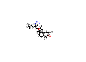 CCC(=O)CC1[C@@]2(C)C=C(C#N)C(=O)C(C)(C)C2CC[C@@]1(C)C(C)(C)CC[C@@](C)(CN)CCC(C)(C)CC